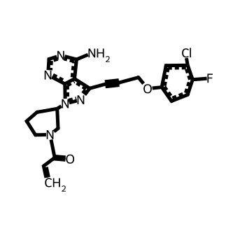 C=CC(=O)N1CCCC(n2nc(C#CCOc3ccc(F)c(Cl)c3)c3c(N)ncnc32)C1